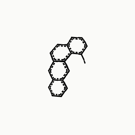 Cc1cccc2ccc3cc4ccccc4cc3c12